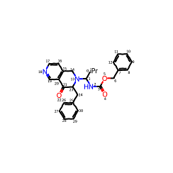 CC(C)C(NC(=O)OCc1ccccc1)N1Cc2ccncc2C(=O)C1Cc1ccccc1